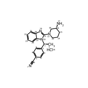 C[C@@H](c1ccc(C#N)cc1)n1c(N2CCC[C@H](N)C2)nc2ccccc21.Cl